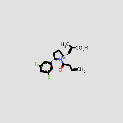 C=CCC(=O)N1[C@@H](C=C(C)C(=O)O)CC[C@H]1c1cc(F)cc(F)c1